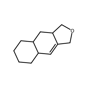 C1=C2COCC2CC2CCCCC12